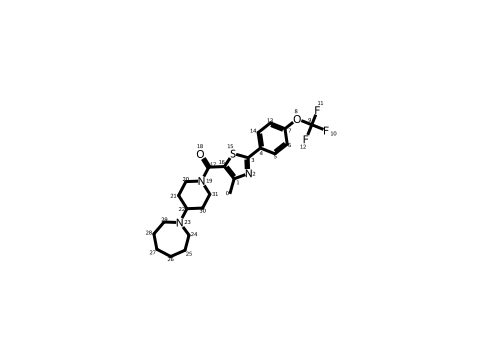 Cc1nc(-c2ccc(OC(F)(F)F)cc2)sc1C(=O)N1CCC(N2CCCCCC2)CC1